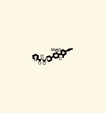 CC#Cc1cc(C)c(C2C(=O)CC(C3CCN(C(=O)NC(=O)c4ccccn4)CC3)CC2=O)c(OC)c1